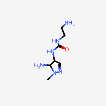 CN1N=CC(NC(=O)NCCN)C1N